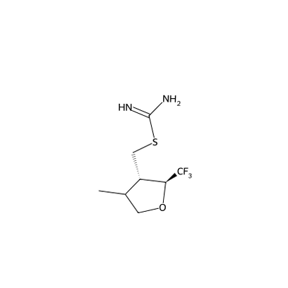 CC1CO[C@H](C(F)(F)F)[C@H]1CSC(=N)N